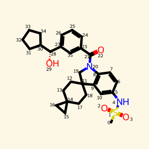 CS(=O)(=O)Nc1ccc2c(c1)C1(CCC3(CC3)CC1)CN2C(=O)c1cccc([C@H](O)C2CCCC2)c1